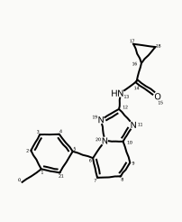 Cc1cccc(-c2cccc3nc(NC(=O)C4CC4)nn23)c1